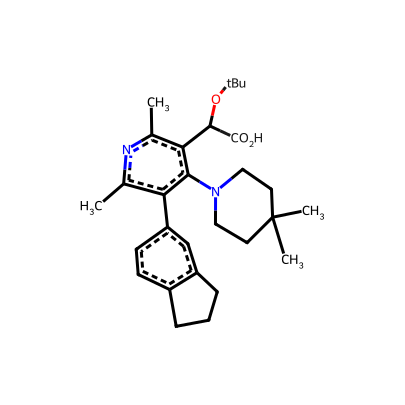 Cc1nc(C)c(C(OC(C)(C)C)C(=O)O)c(N2CCC(C)(C)CC2)c1-c1ccc2c(c1)CCC2